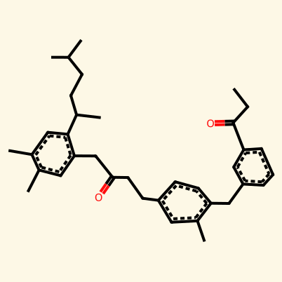 CCC(=O)c1cccc(Cc2ccc(CCC(=O)Cc3cc(C)c(C)cc3C(C)CCC(C)C)cc2C)c1